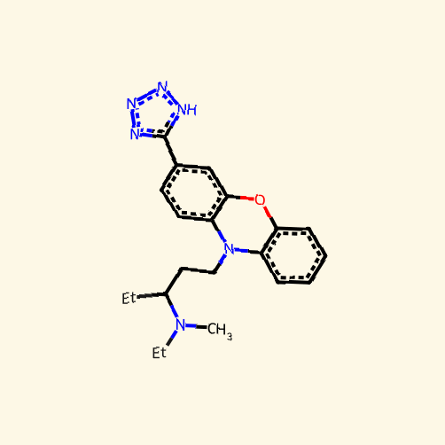 CCC(CCN1c2ccccc2Oc2cc(-c3nnn[nH]3)ccc21)N(C)CC